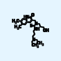 CCN(CC)CCCNC(=S)N(CCCO)Cc1cc2cc(C)c(C)cc2[nH]c1=O